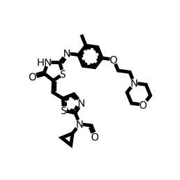 Cc1cc(OCCN2CCOCC2)ccc1/N=C1/NC(=O)/C(=C/c2cnc(N(C=O)C3CC3)s2)S1